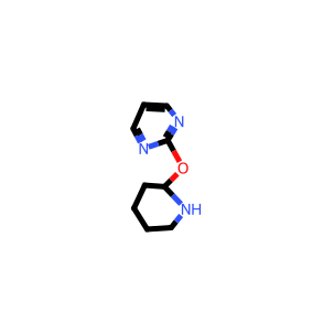 c1cnc(OC2CCCCN2)nc1